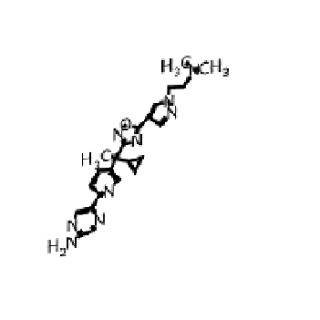 CN(C)CCn1cc(-c2nc([C@@](C)(c3ccc(-c4cnc(N)cn4)nc3)C3CC3)no2)cn1